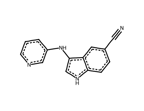 N#Cc1ccc2[nH]cc(Nc3cccnc3)c2c1